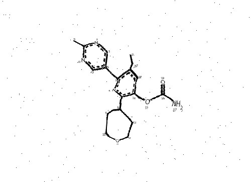 Cc1ncc(-c2nc(C3CCOCC3)c(OC(N)=O)cc2C)cn1